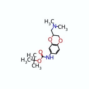 CN(C)CC1COc2ccc(NC(=O)OC(C)(C)C)cc2O1